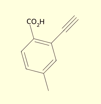 C#Cc1cc(C)ccc1C(=O)O